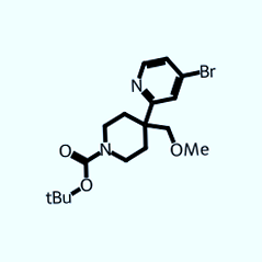 COCC1(c2cc(Br)ccn2)CCN(C(=O)OC(C)(C)C)CC1